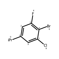 CC(C)c1cc(F)c(Br)c(Cl)c1